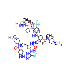 CN1CCC(N(C)C(=O)c2ccc(Nc3ncc(C(F)(F)F)c(N[C@@H]4CCC[C@@H]4C(=O)NC(C)(C)C)n3)cc2)CC1.CNC(=O)[C@H]1CCC[C@H]1Nc1nc(Nc2ccc(C(=O)N(C)C3CCN(C)CC3)cc2)ncc1C(F)(F)F